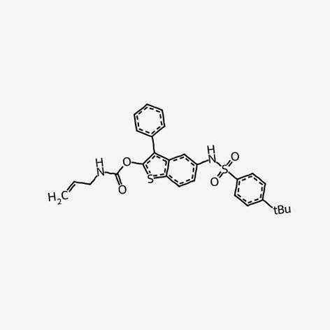 C=CCNC(=O)Oc1sc2ccc(NS(=O)(=O)c3ccc(C(C)(C)C)cc3)cc2c1-c1ccccc1